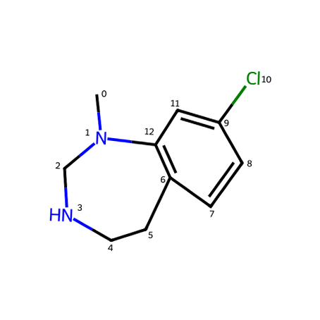 CN1CNCCc2ccc(Cl)cc21